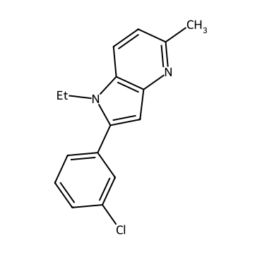 CCn1c(-c2cccc(Cl)c2)cc2nc(C)ccc21